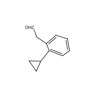 O=C[CH]c1ccccc1C1CC1